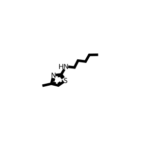 CCCCCNc1nc(C)cs1